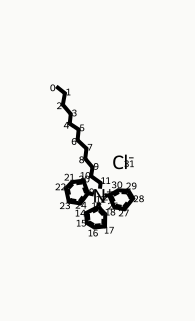 CCCCCCCCCCCC[N+](c1ccccc1)(c1ccccc1)c1ccccc1.[Cl-]